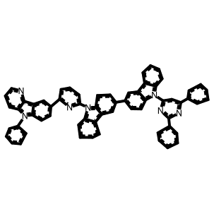 c1ccc(-c2cc(-n3c4ccccc4c4cc(-c5ccc6c(c5)c5ccccc5n6-c5cccc(-c6ccc7c(c6)c6ncccc6n7-c6ccccc6)n5)ccc43)nc(-c3ccccc3)n2)cc1